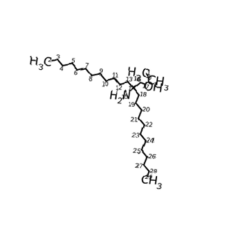 CC.CCCCCCCCCCCCC(N)(CO)CCCCCCCCCCCC